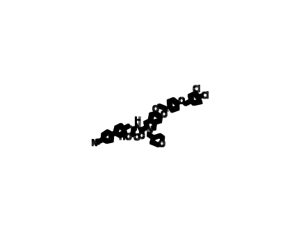 N#Cc1ccc(-c2ccc(C[C@H](NC(=O)C3Cc4cc5c(cc4CN3CC3CCOCC3)O[C@@H](c3ccc(OCc4ccc(Cl)c(Cl)c4)cc3)CO5)C(=O)O)cc2)cc1